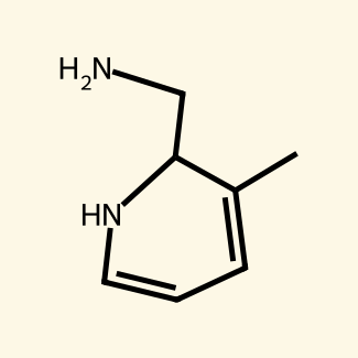 CC1=CC=CNC1CN